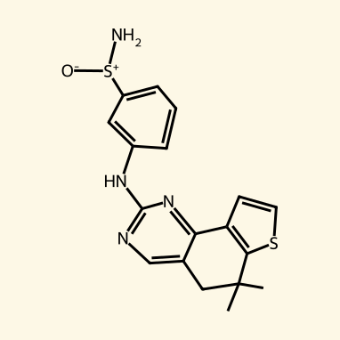 CC1(C)Cc2cnc(Nc3cccc([S+](N)[O-])c3)nc2-c2ccsc21